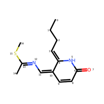 CCC\C=c1/[nH]c(=O)cc/c1=C/N=C(\C)SC